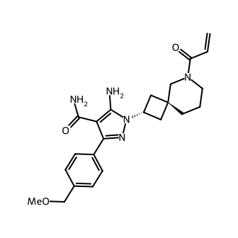 C=CC(=O)N1CCC[C@]2(C1)C[C@@H](n1nc(-c3ccc(COC)cc3)c(C(N)=O)c1N)C2